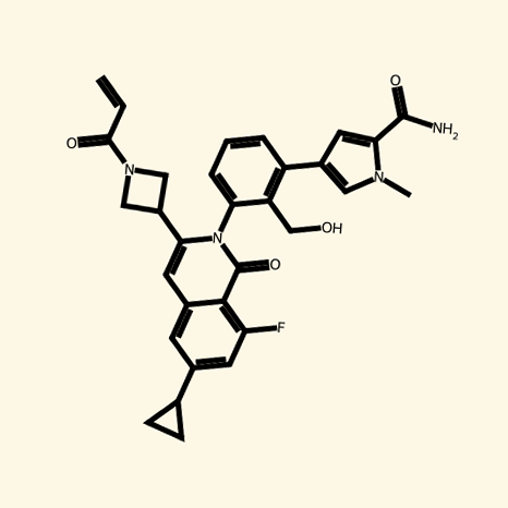 C=CC(=O)N1CC(c2cc3cc(C4CC4)cc(F)c3c(=O)n2-c2cccc(-c3cc(C(N)=O)n(C)c3)c2CO)C1